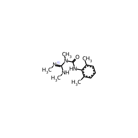 C/N=C(\NC)N(C)C(=O)Nc1c(C)cccc1C